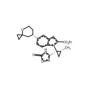 CCOC(=O)c1cc2cc([C@H]3CCOC4(CC4)C3)ccc2n1[C@]1(c2noc(=O)[nH]2)C[C@H]1C